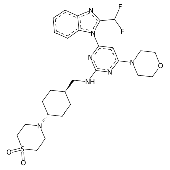 O=S1(=O)CCN([C@H]2CC[C@H](CNc3nc(N4CCOCC4)cc(-n4c(C(F)F)nc5ccccc54)n3)CC2)CC1